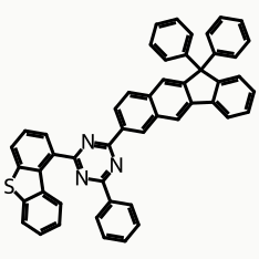 c1ccc(-c2nc(-c3ccc4cc5c(cc4c3)-c3ccccc3C5(c3ccccc3)c3ccccc3)nc(-c3cccc4sc5ccccc5c34)n2)cc1